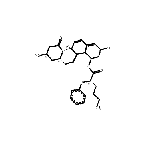 CCCC[C@H](Oc1ccccc1)C(=O)OC1CC(O)C=C2C=CC(C)C(CC[C@@H]3C[C@@H](O)CC(=O)O3)C21